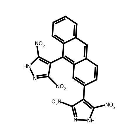 O=[N+]([O-])c1n[nH]c([N+](=O)[O-])c1-c1ccc2cc3ccccc3c(-c3c([N+](=O)[O-])n[nH]c3[N+](=O)[O-])c2c1